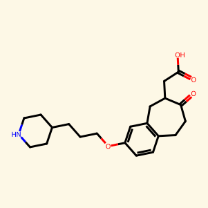 O=C(O)CC1Cc2cc(OCCCC3CCNCC3)ccc2CCC1=O